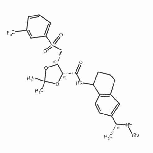 C[C@@H](NC(C)(C)C)c1ccc2c(c1)CCCC2NC(=O)[C@@H]1OC(C)(C)O[C@@H]1CS(=O)(=O)c1cccc(C(F)(F)F)c1